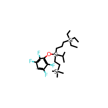 CC[Si](CC)(CC)CCC[Si](CC[Si](C)(C)C)(Oc1c(F)c(F)[c]c(F)c1F)C(C)C